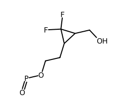 O=POCCC1C(CO)C1(F)F